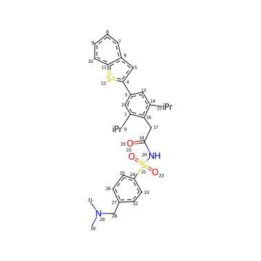 CC(C)c1cc(-c2cc3ccccc3s2)cc(C(C)C)c1CC(=O)NS(=O)(=O)c1ccc(CN(C)C)cc1